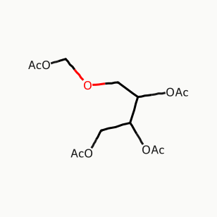 CC(=O)OCOCC(OC(C)=O)C(COC(C)=O)OC(C)=O